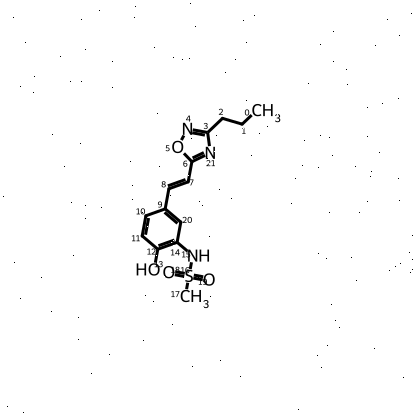 CCCc1noc(C=Cc2ccc(O)c(NS(C)(=O)=O)c2)n1